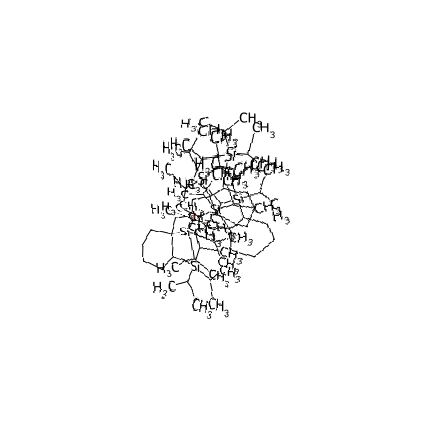 CC(C)[Si](C(C)C)(C(C)C)C1CCCCC1([CH2][Cr]([CH2]C1([Si](C(C)C)(C(C)C)C(C)C)CCCCC1[Si](C(C)C)(C(C)C)C(C)C)[CH2]C1([Si](C(C)C)(C(C)C)C(C)C)CCCCC1[Si](C(C)C)(C(C)C)C(C)C)[Si](C(C)C)(C(C)C)C(C)C